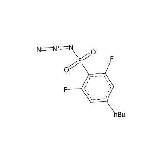 CCCCc1cc(F)c(S(=O)(=O)N=[N+]=[N-])c(F)c1